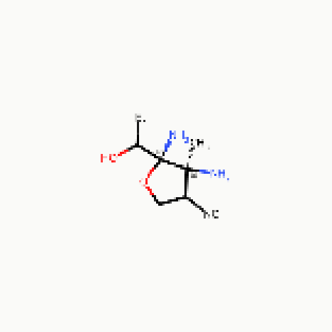 CCC(O)[C@@]1(N)OCC(N=O)[C@]1(C)N